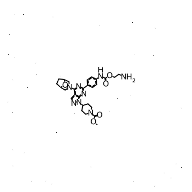 COC(=O)N1CCC(n2ncc3c(N4CC5CCC(C4)O5)nc(-c4ccc(NC(=O)OCCN)cc4)nc32)CC1